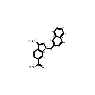 CNC(=O)c1ccc2c(C(=O)O)cn(Cc3ccc4ccccc4c3)c2c1